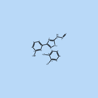 C=NNc1nc(-c2cccc(Br)c2)cs1.Fc1ccccc1F